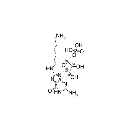 NCCCCCCNc1nc2c(=O)[nH]c(N)nc2n1[C@@H]1O[C@H](COP(=O)(O)O)[C@@H](O)[C@H]1O